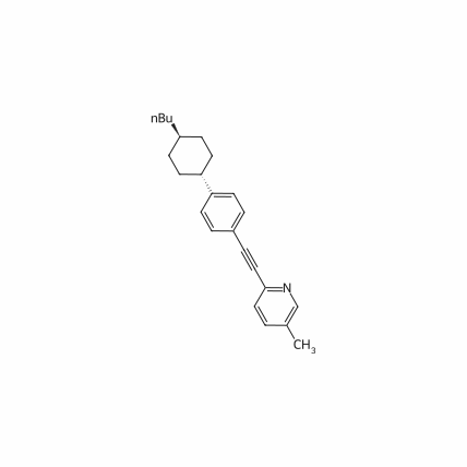 CCCC[C@H]1CC[C@H](c2ccc(C#Cc3ccc(C)cn3)cc2)CC1